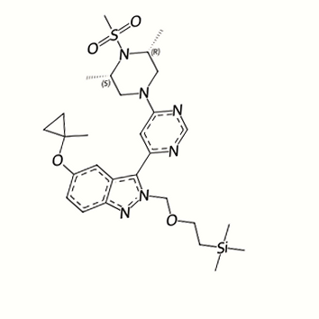 C[C@@H]1CN(c2cc(-c3c4cc(OC5(C)CC5)ccc4nn3COCC[Si](C)(C)C)ncn2)C[C@H](C)N1S(C)(=O)=O